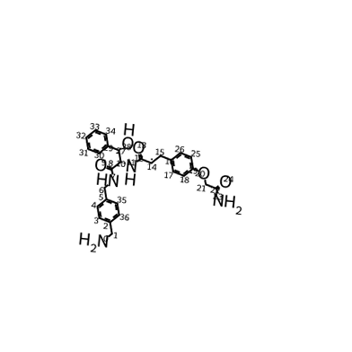 NCc1ccc(CNC(=O)[C@@H](NC(=O)[CH]Cc2ccc(OCC(N)=O)cc2)[C@H](O)c2ccccc2)cc1